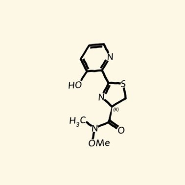 CON(C)C(=O)[C@@H]1CSC(c2ncccc2O)=N1